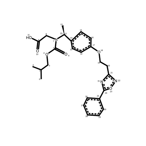 CC(C)COC(=O)N(CC(=O)O)[C@@H](C)c1ccc(OCCc2noc(-c3ccccc3)n2)cc1